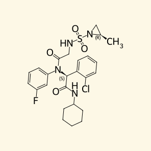 C[C@@H]1CN1S(=O)(=O)NCC(=O)N(c1cccc(F)c1)[C@H](C(=O)NC1CCCCC1)c1ccccc1Cl